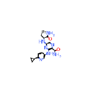 CC(C)CC(Nc1cnc(C(N)=O)c(Nc2ccc(C3CC3)nc2)n1)C(N)=O